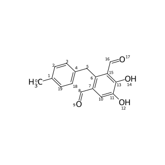 Cc1ccc(Cc2c(C=O)cc(O)c(O)c2C=O)cc1